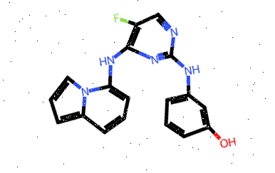 Oc1cccc(Nc2ncc(F)c(Nc3cccc4cccn34)n2)c1